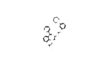 CC(C)(C)C(=O)CN1C(=O)C(NC(=O)Nc2cccc(N3CCCCC3)c2)N=C(c2ccccn2)c2ccccc21